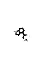 CCC(C)c1cccc2c1CCN2